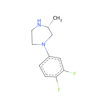 C[C@@H]1CN(c2ccc(F)c(F)c2)CCN1